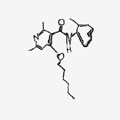 CCCCCCOc1cc(C)nc(C)c1C(=O)Nc1ccccc1C